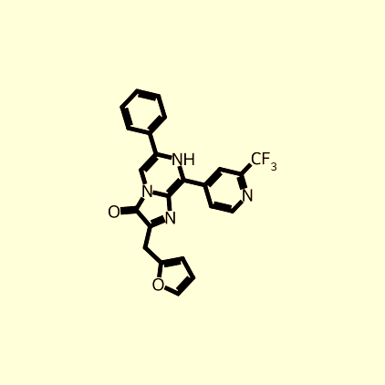 O=c1c(Cc2ccco2)nc2c(-c3ccnc(C(F)(F)F)c3)[nH]c(-c3ccccc3)cn1-2